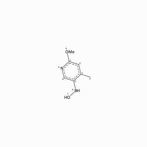 COc1cc(C)c(BO)cn1